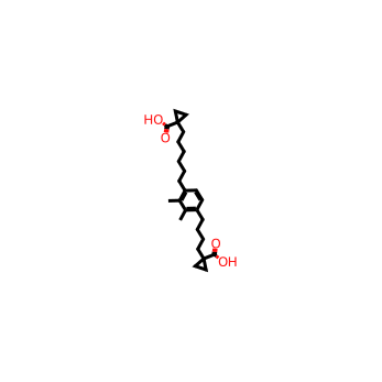 Cc1c(CCCCCCC2(C(=O)O)CC2)ccc(CCCCC2(C(=O)O)CC2)c1C